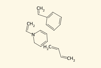 C=CC=C.C=CN1C=CC=CC1.C=Cc1ccccc1